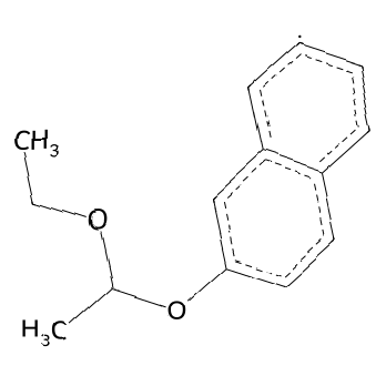 CCOC(C)Oc1ccc2cc[c]cc2c1